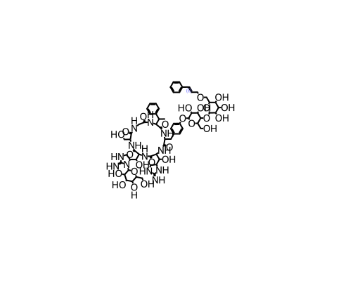 CC(c1ccccc1)C1NC(=O)CNC(=O)C(CO)NC(=O)C(C(O)C2CNC(=N)N2C2OC(CO)C(O)C(O)C2O)NC(=O)C(C(O)C2CNC(=N)N2)NC(=O)C(Cc2ccc(OC3OC(CO)C(OC4OC(COC/C=C/c5ccccc5)C(O)C(O)C4O)C(O)C3O)cc2)NC1=O